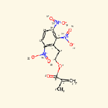 C=C(C)C(=O)OCCc1c([N+](=O)[O-])ccc([N+](=O)[O-])c1[N+](=O)[O-]